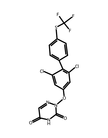 O=c1cnn(Oc2cc(Cl)c(-c3ccc(SC(F)(F)F)cc3)c(Cl)c2)c(=O)[nH]1